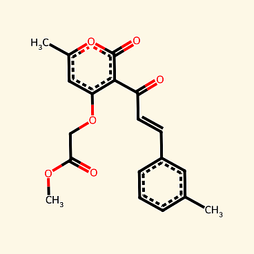 COC(=O)COc1cc(C)oc(=O)c1C(=O)C=Cc1cccc(C)c1